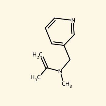 C=C(C)N(C)Cc1cccnc1